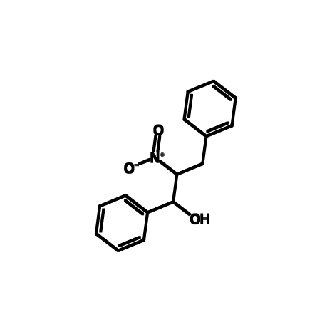 O=[N+]([O-])C(Cc1ccccc1)C(O)c1ccccc1